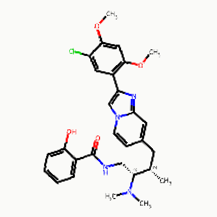 COc1cc(OC)c(-c2cn3ccc(C[C@H](C)[C@@H](CNC(=O)c4ccccc4O)N(C)C)cc3n2)cc1Cl